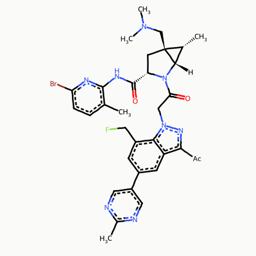 CC(=O)c1nn(CC(=O)N2[C@H]3[C@@H](C)[C@@]3(CN(C)C)C[C@H]2C(=O)Nc2nc(Br)ccc2C)c2c(CF)cc(-c3cnc(C)nc3)cc12